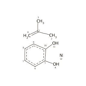 C=C(C)C.Oc1ccccc1O.[N]